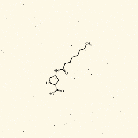 CCCCCCCC(=O)N[C@H]1CN[C@@H](C(=O)O)C1